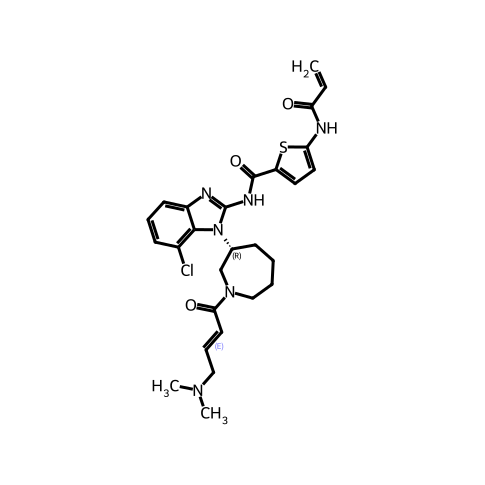 C=CC(=O)Nc1ccc(C(=O)Nc2nc3cccc(Cl)c3n2[C@@H]2CCCCN(C(=O)/C=C/CN(C)C)C2)s1